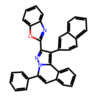 c1ccc(-c2cc3ccccc3c3c(-c4ccc5ccccc5c4)c(-c4nc5ccccc5o4)nn23)cc1